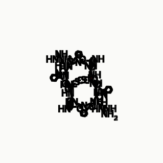 C[C@@H]1NC(=O)[C@@H]2CSCSC[C@H](NC(=O)[C@H](Cc3c[nH]c4ccccc34)NC(=O)[C@H](CCCNC(=N)N)NC(=O)[C@@H](Cc3ccccc3)NC(=O)[C@H](Cc3c[nH]cn3)NC1=O)C(=O)N[C@@H](C)C(=O)N[C@@H](Cc1c[nH]cn1)C(=O)N[C@H](Cc1ccccc1)C(=O)N[C@@H](CCCNC(=N)N)C(=O)N[C@@H](Cc1c[nH]c3ccccc13)C(=O)N2